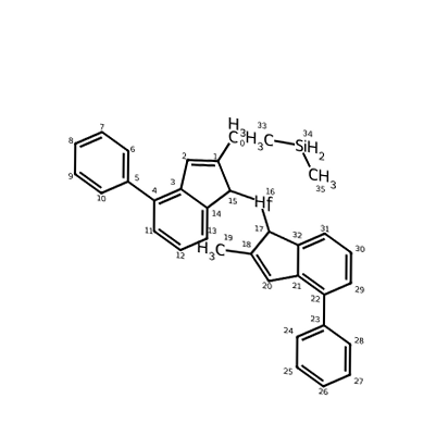 CC1=Cc2c(-c3ccccc3)cccc2[CH]1[Hf][CH]1C(C)=Cc2c(-c3ccccc3)cccc21.C[SiH2]C